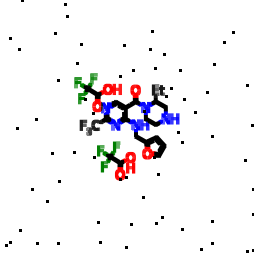 CCC1CNCCN1C(=O)c1cnc(C(F)(F)F)nc1NCc1ccco1.O=C(O)C(F)(F)F.O=C(O)C(F)(F)F